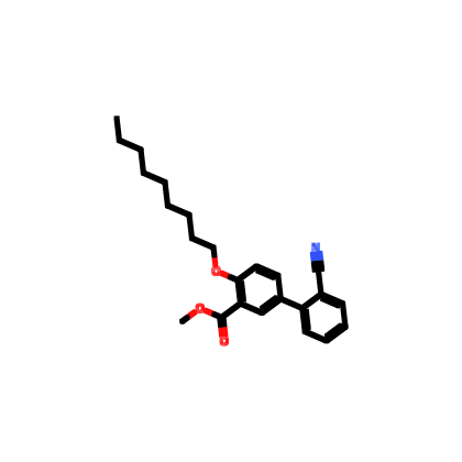 CCCCCCCCCOc1ccc(-c2ccccc2C#N)cc1C(=O)OC